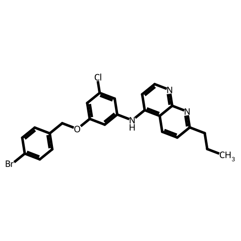 CCCc1ccc2c(Nc3cc(Cl)cc(OCc4ccc(Br)cc4)c3)ccnc2n1